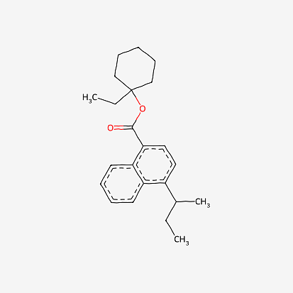 CCC(C)c1ccc(C(=O)OC2(CC)CCCCC2)c2ccccc12